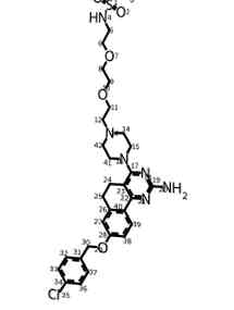 CS(=O)(=O)NCCOCCOCCN1CCN(c2nc(N)nc3c2CCc2cc(OCc4ccc(Cl)cc4)ccc2-3)CC1